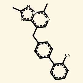 Cc1nc2c(Cc3ccc(-c4ccccc4C#N)cc3)cnc(C)n2n1